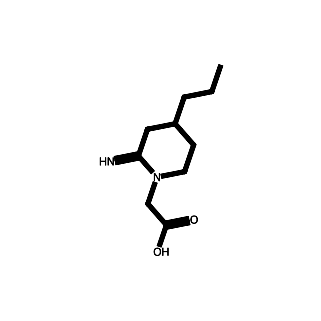 CCCC1CCN(CC(=O)O)C(=N)C1